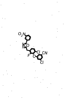 N#Cc1cc(Cl)cc(Oc2c(Cl)ccc(Cc3nnc(-c4cccc([N+](=O)[O-])c4)o3)c2F)c1